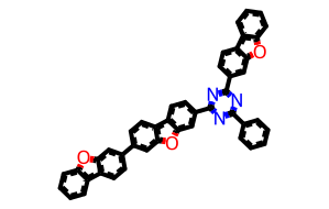 c1ccc(-c2nc(-c3ccc4c(c3)oc3ccccc34)nc(-c3ccc4c(c3)oc3cc(-c5ccc6c(c5)oc5ccccc56)ccc34)n2)cc1